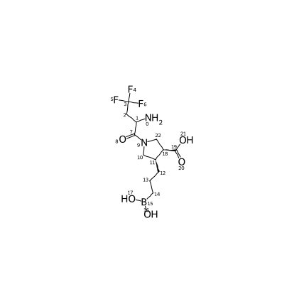 NC(CC(F)(F)F)C(=O)N1C[C@H](CCCB(O)O)[C@H](C(=O)O)C1